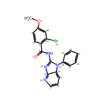 COc1ccc(C(=O)Nc2nc3ncccc3n2-c2ccccc2)c(Br)c1